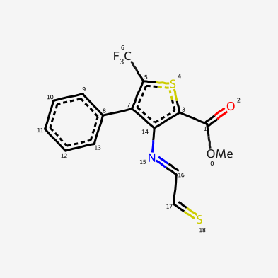 COC(=O)c1sc(C(F)(F)F)c(-c2ccccc2)c1N=CC=S